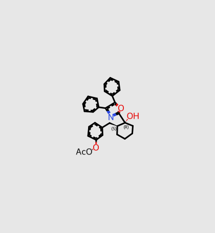 CC(=O)OOc1cccc(C[C@@H]2CCCC[C@]2(O)c2nc(-c3ccccc3)c(-c3ccccc3)o2)c1